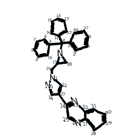 c1ccc(C(c2ccccc2)(c2ccccc2)N2CC2Cn2cc(-c3cnc4ccccc4n3)cn2)cc1